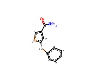 NC(=O)c1csc(Sc2ccccc2)c1